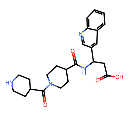 O=C(O)CC(NC(=O)C1CCN(C(=O)C2CCNCC2)CC1)c1cnc2ccccc2c1